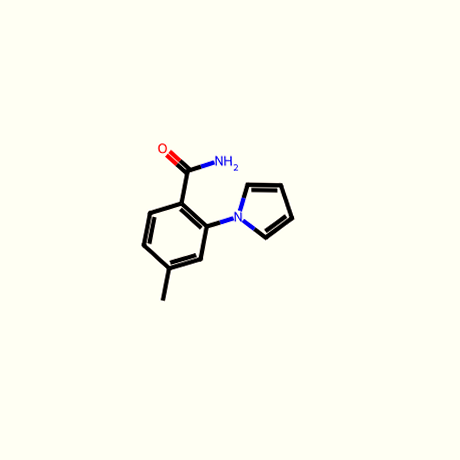 Cc1ccc(C(N)=O)c(-n2cccc2)c1